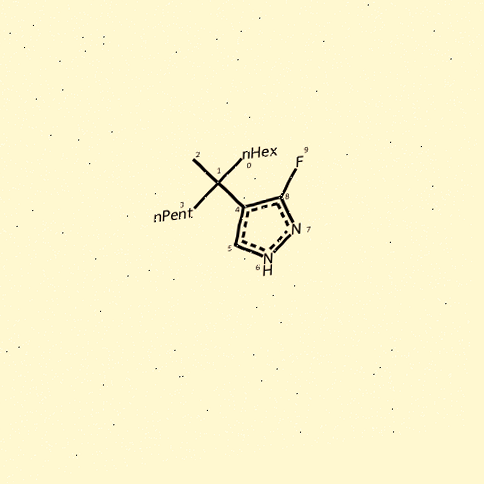 CCCCCCC(C)(CCCCC)c1c[nH]nc1F